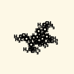 CC(C)(C)c1ccc(N(c2ccc([Si](C)(C)C)cc2)c2ccc3c(c2)C2(c4ccccc4[Si](C)(C)c4ccccc42)c2cc(N(c4ccc(C(C)(C)C)cc4)c4ccc([Si](C)(C)C)cc4)c4ccccc4c2-3)cc1